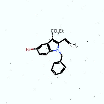 C=Cc1c(C(=O)OCC)c2cc(Br)ccc2n1Cc1ccccc1